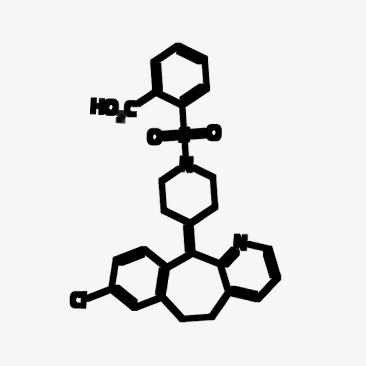 O=C(O)c1ccccc1S(=O)(=O)N1CCC(=C2c3ccc(Cl)cc3CCc3cccnc32)CC1